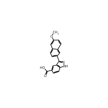 COc1ccc2cc(-c3n[nH]c4ccc(C(=O)O)cc34)ccc2c1